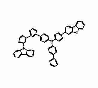 c1ccc(-c2ccc(N(c3ccc(-c4cccc(-c5cccc(-n6c7ccccc7c7ccccc76)c5)c4)cc3)c3ccc(-c4ccc5c(c4)oc4ccccc45)cc3)cc2)cc1